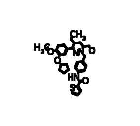 CCC1CC(C=O)N(Cc2ccc(NC(=O)c3cccs3)cc2)N=C1c1ccc(OC)c(OC2CCCC2)c1